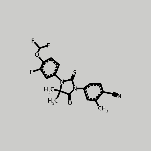 Cc1cc(N2C(=O)C(C)(C)N(c3ccc(OC(F)F)c(F)c3)C2=S)ccc1C#N